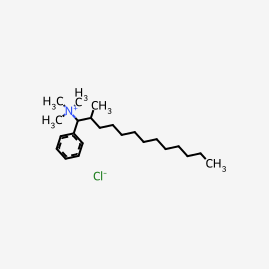 CCCCCCCCCCCC(C)C(c1ccccc1)[N+](C)(C)C.[Cl-]